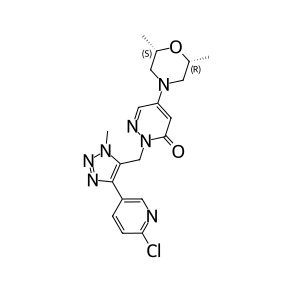 C[C@@H]1CN(c2cnn(Cc3c(-c4ccc(Cl)nc4)nnn3C)c(=O)c2)C[C@H](C)O1